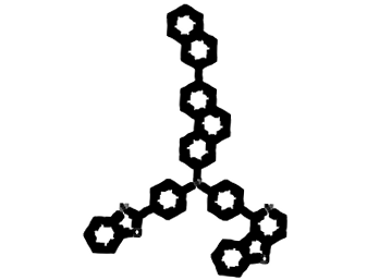 c1ccc2cc(-c3ccc4c(ccc5cc(N(c6ccc(-c7nc8ccccc8o7)cc6)c6ccc(-c7nccc8oc9ccccc9c78)cc6)ccc54)c3)ccc2c1